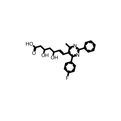 Cc1nc(-c2ccccc2)nc(-c2ccc(F)cc2)c1C=CC(O)CC(O)CC(=O)O